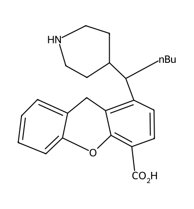 CCCCC(c1ccc(C(=O)O)c2c1Cc1ccccc1O2)C1CCNCC1